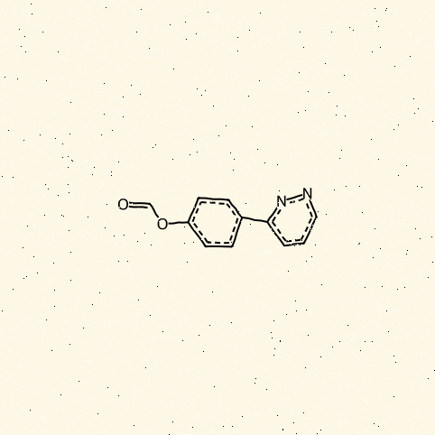 O=COc1ccc(-c2cccnn2)cc1